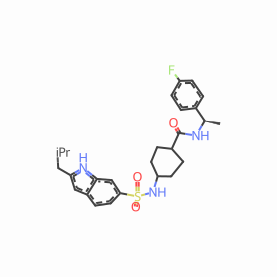 CC(C)Cc1cc2ccc(S(=O)(=O)NC3CCC(C(=O)N[C@H](C)c4ccc(F)cc4)CC3)cc2[nH]1